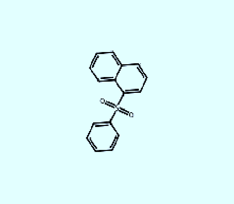 O=S(=O)(c1ccccc1)c1cc[c]c2ccccc12